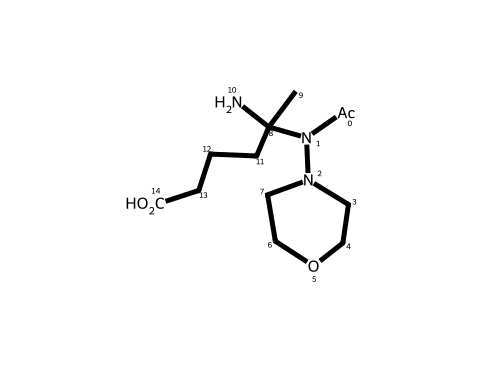 CC(=O)N(N1CCOCC1)C(C)(N)CCCC(=O)O